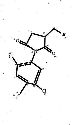 Cc1cc(Cl)c(N2C(=O)CC(CBr)C2=O)cc1Cl